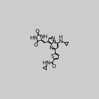 O=C1NC(=O)/C(=C/c2cnn3c(NC4CC4)cc(-c4ccc(C(=O)NC5CC5)s4)nc23)N1